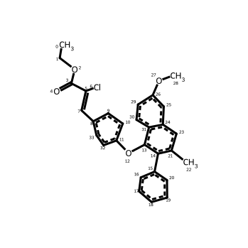 CCOC(=O)C(Cl)=Cc1ccc(Oc2c(-c3ccccc3)c(C)cc3cc(OC)ccc23)cc1